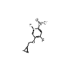 O=[N+]([O-])c1cc(F)c(OCC2CC2)cc1F